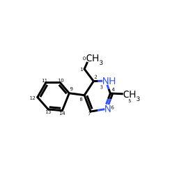 CCC1NC(C)=NC=C1c1ccccc1